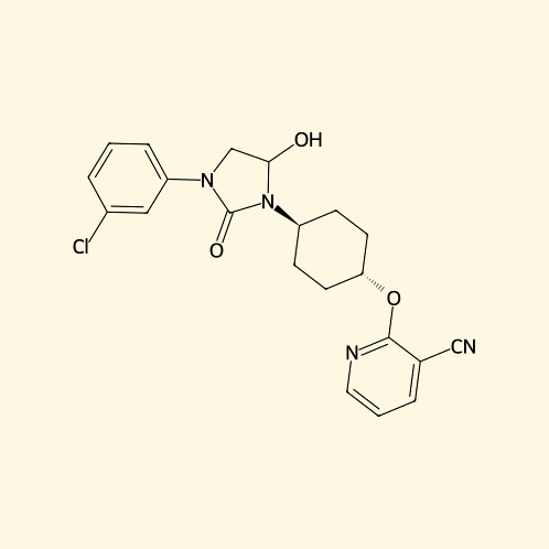 N#Cc1cccnc1O[C@H]1CC[C@H](N2C(=O)N(c3cccc(Cl)c3)CC2O)CC1